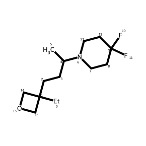 CCC1(CCC(C)N2CCC(F)(F)CC2)COC1